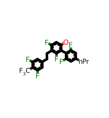 CCCc1cc(F)c(-c2c([O])cc(F)c(CCc3cc(F)c(C(F)(F)F)c(F)c3)c2F)c(F)c1